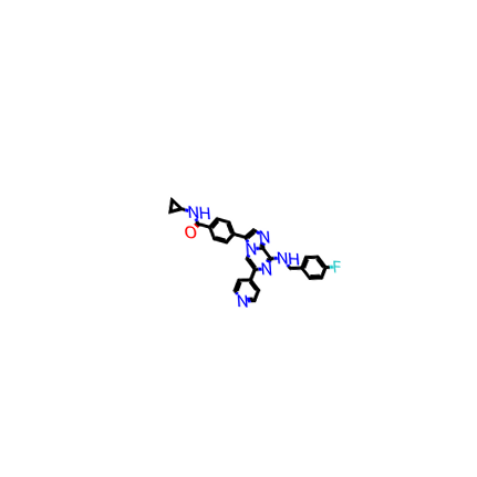 O=C(NC1CC1)c1ccc(-c2cnc3c(NCc4ccc(F)cc4)nc(-c4ccncc4)cn23)cc1